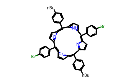 CCCCc1ccc(-c2c3nc(c(-c4ccc(Br)cc4)c4ccc([nH]4)c(-c4ccc(CCCC)cc4)c4nc(c(-c5ccc(Br)cc5)c5ccc2[nH]5)C=C4)C=C3)cc1